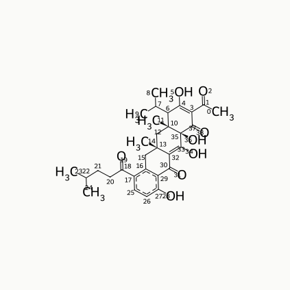 CC(=O)C1=C(O)C(C(C)C)[C@@]2(C)C[C@@]3(C)Cc4c(C(=O)CCC(C)C)ccc(O)c4C(=O)C3=C(O)[C@@]2(O)C1=O